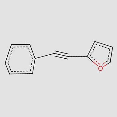 C(#Cc1ccco1)c1ccccc1